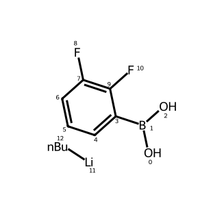 OB(O)c1cccc(F)c1F.[Li][CH2]CCC